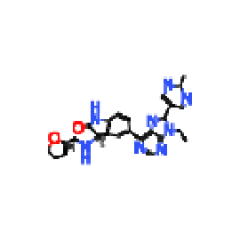 CCn1c(-c2cnc(C)nc2)nc2c(-c3ccc4c(c3)[C@@](C)(NC[C@H]3CCCO3)C(=O)N4)ncnc21